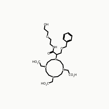 O=C(O)CN1CCN(CC(=O)O)CCN(C(COCc2ccccc2)C(=O)NCCOCCO)CCN(CC(=O)O)CC1